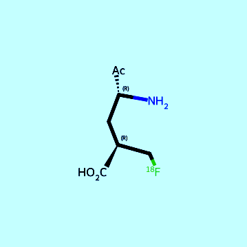 CC(=O)[C@H](N)C[C@@H](C[18F])C(=O)O